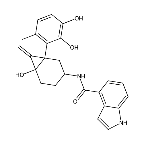 C=C1C2(O)CCC(NC(=O)c3cccc4[nH]ccc34)CC12c1c(C)ccc(O)c1O